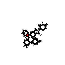 CC1(C)CCC(CN2CC3CC(C2)N3C(=O)c2ccc3c(c2)CN(C2CCC(=O)NC2=O)C3=O)=C(c2ccc(Cl)cc2)C1